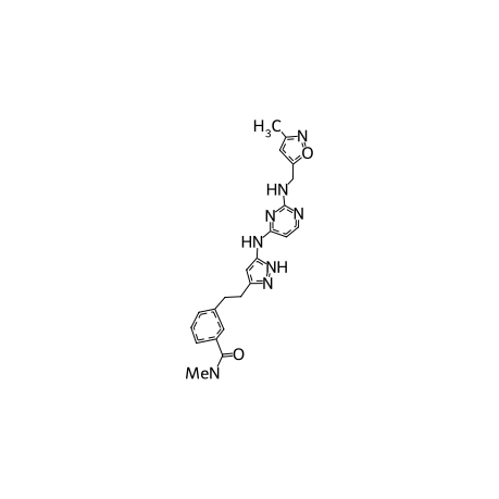 CNC(=O)c1cccc(CCc2cc(Nc3ccnc(NCc4cc(C)no4)n3)[nH]n2)c1